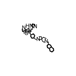 O=C(c1ccc(CN2CCC3(CCN(Cc4ccc5ccccc5c4)CC3)C2)cc1)N(Cc1ncc[nH]1)Cc1ncc[nH]1